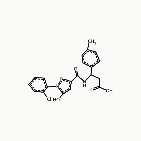 Cc1ccc(C(CC(=O)O)NC(=O)c2cc(O)n(-c3ccccc3Cl)n2)cc1